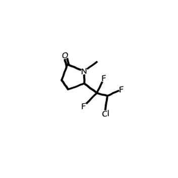 CN1C(=O)CCC1C(F)(F)C(F)Cl